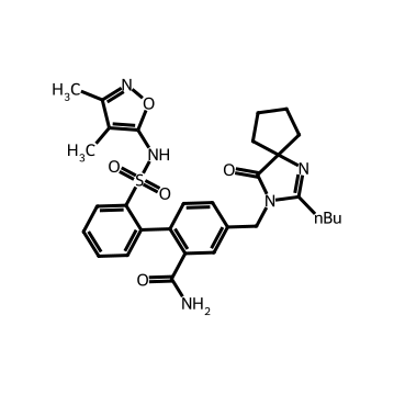 CCCCC1=NC2(CCCC2)C(=O)N1Cc1ccc(-c2ccccc2S(=O)(=O)Nc2onc(C)c2C)c(C(N)=O)c1